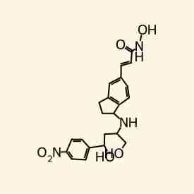 O=C(C=Cc1ccc2c(c1)CCC2NC(CO)CC(O)c1ccc([N+](=O)[O-])cc1)NO